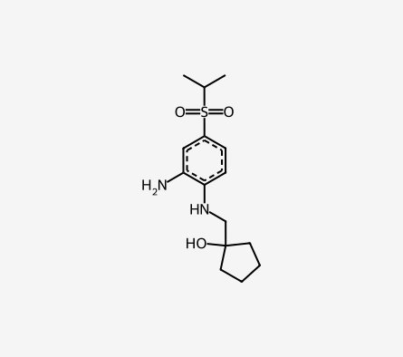 CC(C)S(=O)(=O)c1ccc(NCC2(O)CCCC2)c(N)c1